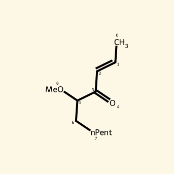 CC=CC(=O)C(CCCCCC)OC